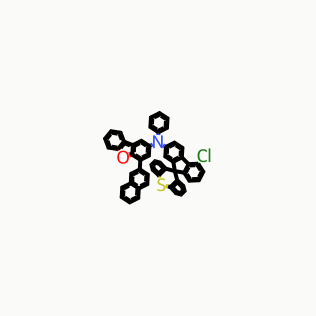 Clc1cccc2c1-c1ccc(N(c3ccccc3)c3cc(-c4ccc5ccccc5c4)c4oc5ccccc5c4c3)cc1C21c2ccccc2Sc2ccccc21